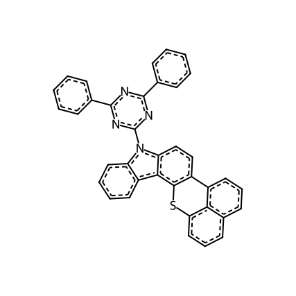 c1ccc(-c2nc(-c3ccccc3)nc(-n3c4ccccc4c4c5c(ccc43)-c3cccc4cccc(c34)S5)n2)cc1